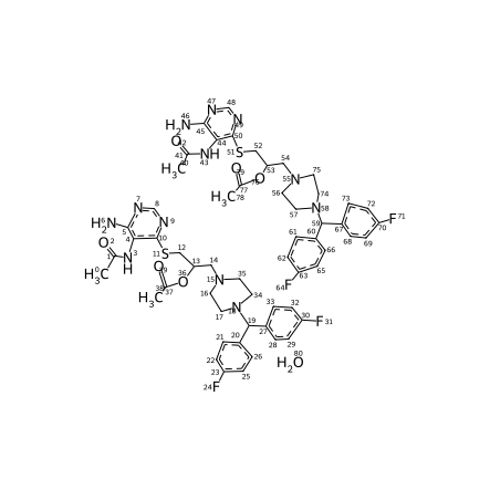 CC(=O)Nc1c(N)ncnc1SCC(CN1CCN(C(c2ccc(F)cc2)c2ccc(F)cc2)CC1)OC(C)=O.CC(=O)Nc1c(N)ncnc1SCC(CN1CCN(C(c2ccc(F)cc2)c2ccc(F)cc2)CC1)OC(C)=O.O